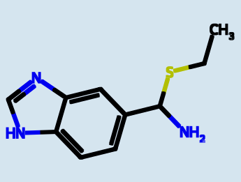 CCSC(N)c1ccc2[nH]cnc2c1